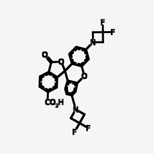 O=C(O)c1ccc2c(c1)C1(OC2=O)c2ccc(N3CC(F)(F)C3)cc2Oc2cc(N3CC(F)(F)C3)ccc21